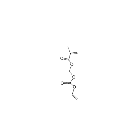 C=COC(=O)OCOC(=O)C(=C)C